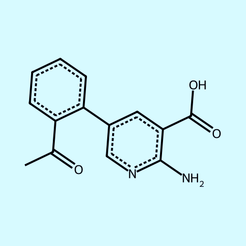 CC(=O)c1ccccc1-c1cnc(N)c(C(=O)O)c1